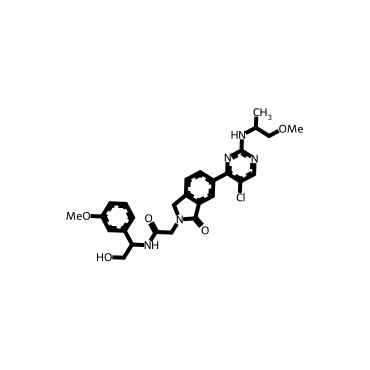 COCC(C)Nc1ncc(Cl)c(-c2ccc3c(c2)C(=O)N(CC(=O)NC(CO)c2cccc(OC)c2)C3)n1